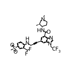 C[C@H]1CN(C)CC[C@@H]1NC(=O)c1cc(C#CCNc2ccc(S(C)(=O)=O)cc2C(F)F)cc2c1ncn2CC(F)(F)F